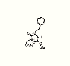 COCNC(=O)[C@H](CCc1ccccc1)NC(=O)OC(C)(C)C